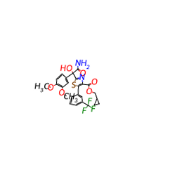 COc1ccc(C(O)(C(N)=O)c2nc(C(=O)OCC3CC3)c(-c3cccc(C(F)(F)F)c3)s2)cc1OC